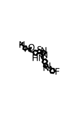 CN(C)C1CCN(C(=O)Cc2ccc3c(c2)sc2ncnc(Nc4ccc5c(cnn5Cc5cccc(F)c5)c4)c23)C1